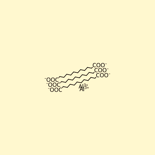 O=C([O-])CCCCCCCCCCC(=O)[O-].O=C([O-])CCCCCCCCCCC(=O)[O-].O=C([O-])CCCCCCCCCCC(=O)[O-].[Al+3].[Al+3]